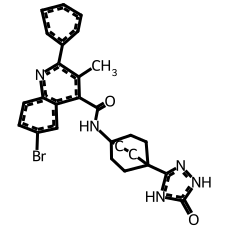 Cc1c(-c2ccccc2)nc2ccc(Br)cc2c1C(=O)NC12CCC(c3n[nH]c(=O)[nH]3)(CC1)CC2